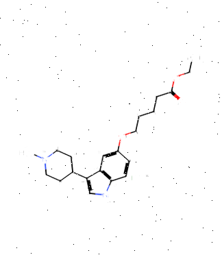 CCOC(=O)CCCCOc1ccc2[nH]cc(C3CCN(C)CC3)c2c1.Cl